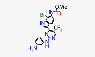 COC(=O)Nc1ccc2c(-c3nc(Nc4cccc(N)c4)ncc3C(F)(F)F)c[nH]c2c1Br